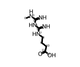 CNC(=N)NC(=N)NCCCC(=O)O